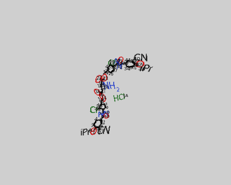 CC(C)Oc1ccc(-c2nc(-c3ccc(COC(=O)CC[C@H](N)C(=O)OCc4ccc(-c5noc(-c6ccc(OC(C)C)c(C#N)c6)n5)c(Cl)c4)cc3Cl)no2)cc1C#N.Cl